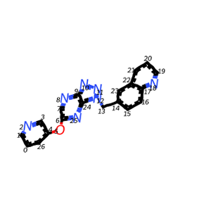 c1cncc(Oc2cnc3nnn(Cc4ccc5ncccc5c4)c3n2)c1